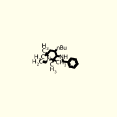 C=CN1C(C)(C)CC(CCCC)C(NCc2ccccc2)C1(C)C